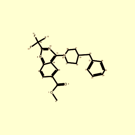 COC(=O)c1ccc2nc(C(F)(F)F)nc(N3CCC(Cc4ccccc4)CC3)c2c1